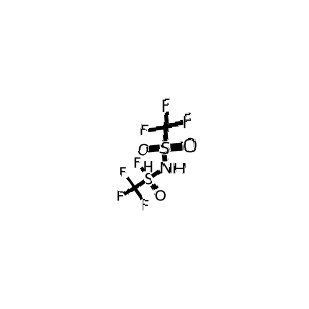 O=S(=O)(N[SH](=O)(F)C(F)(F)F)C(F)(F)F